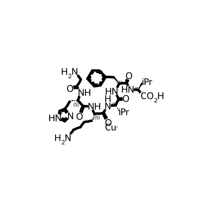 CC(C)[C@H](NC(=O)[C@H](Cc1ccccc1)NC(=O)[C@@H](NC(=O)[C@H](CCCCN)NC(=O)[C@H](Cc1c[nH]cn1)NC(=O)CN)C(C)C)C(=O)O.[Cu]